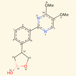 COc1cnc(-c2cccc(C3COB(O)C3)c2)nc1OC